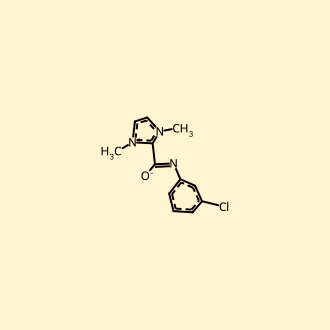 Cn1cc[n+](C)c1/C([O-])=N/c1cccc(Cl)c1